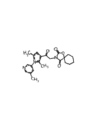 Cc1cncc(-n2c(C)cc(C(=O)CN3C(=O)OC4(CCCCC4)C3=O)c2C)c1